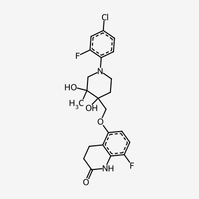 CC1(O)CN(c2ccc(Cl)cc2F)CCC1(O)COc1ccc(F)c2c1CCC(=O)N2